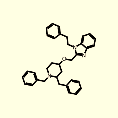 c1ccc(CCn2c(COC3CCN(Cc4ccccc4)C(Cc4ccccc4)C3)nc3ccccc32)cc1